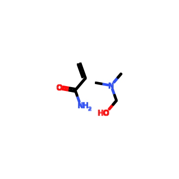 C=CC(N)=O.CN(C)CO